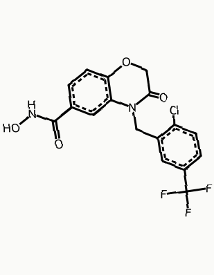 O=C(NO)c1ccc2c(c1)N(Cc1cc(C(F)(F)F)ccc1Cl)C(=O)CO2